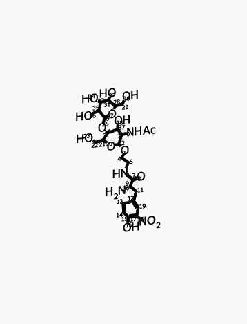 CC(=O)NC1C(OCCNC(=O)[C@@H](N)Cc2ccc(O)c([N+](=O)[O-])c2)OC(CO)C(OC2OC(CO)C(O)C(O)C2O)C1O